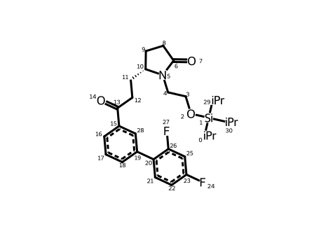 CC(C)[Si](OCCN1C(=O)CC[C@H]1CCC(=O)c1cccc(-c2ccc(F)cc2F)c1)(C(C)C)C(C)C